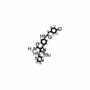 CC(C)(C)n1nc(-c2ccc(NC(=O)Cc3ccc(Cl)cc3)cc2)c(C(N)=O)c1Nc1cnccn1